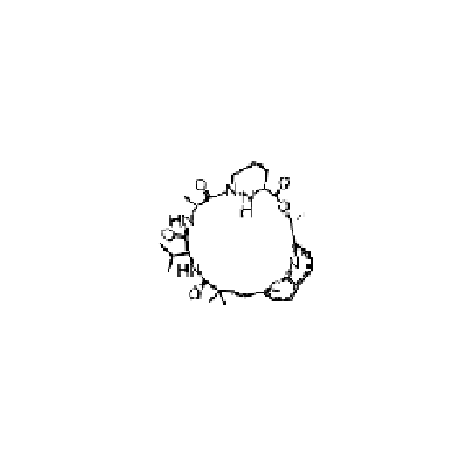 CC1NC(=O)C(C(C)C)NC(=O)C(C)(C)/C=C/c2ccc3ccc(nc3c2)[C@@H](C)OC(=O)[C@]2(C)CCCN(N2)C1=O